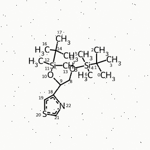 CC(C)(C)[Si](C)(C)OCC(O[Si](C)(C)C(C)(C)C)c1cscn1